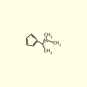 CC(c1ccccc1)[As](C)C